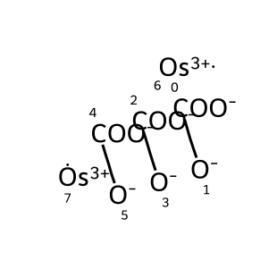 O=C([O-])[O-].O=C([O-])[O-].O=C([O-])[O-].[Os+3].[Os+3]